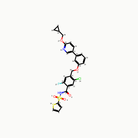 O=C(NS(=O)(=O)c1cccs1)c1cc(Cl)c(COc2cccc(-c3ccc(OCC4CC4)nc3)c2)cc1F